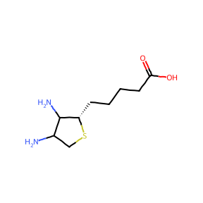 NC1CS[C@@H](CCCCC(=O)O)C1N